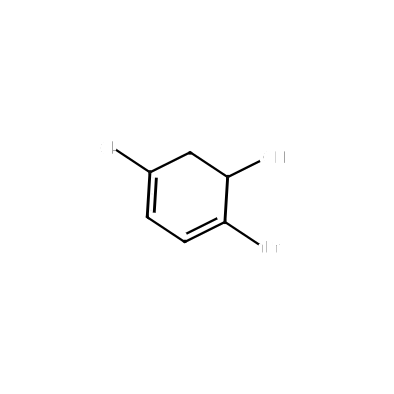 CC(C)C1=CC=C(Cl)CC1C